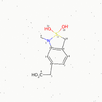 CN1c2cc(CC(=O)O)ccc2CS1(O)O